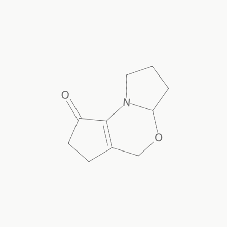 O=C1CCC2=C1N1CCCC1OC2